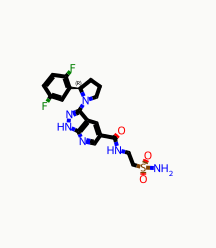 NS(=O)(=O)CCNC(=O)c1cnc2[nH]nc(N3CCC[C@@H]3c3cc(F)ccc3F)c2c1